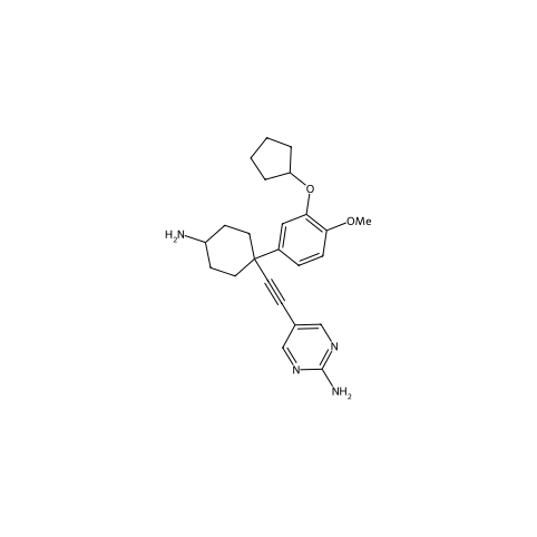 COc1ccc(C2(C#Cc3cnc(N)nc3)CCC(N)CC2)cc1OC1CCCC1